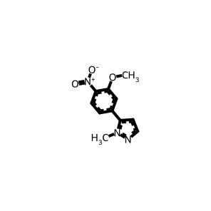 COc1cc(-c2ccnn2C)ccc1[N+](=O)[O-]